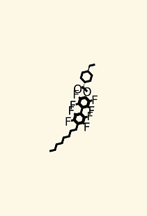 CCCCCCCCc1c(F)c(F)c(-c2c(F)c(F)c(OC(=O)[C@H]3CC[C@H](CC)CC3)c(F)c2F)c(F)c1F